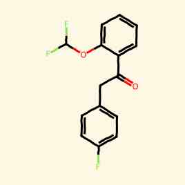 O=C(Cc1ccc(F)cc1)c1ccccc1OC(F)F